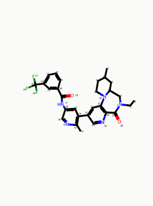 CCN1CC2CC(C)CCN2c2cc(-c3cc(NC(=O)c4cccc(C(F)(F)F)c4)cnc3C)cnc2C1=O